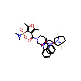 Cc1oc(C)c(S(=O)(=O)N(C)C)c1C(=O)N1CCC(CCN2[C@@H]3CC[C@H]2C[C@@H](n2c(C)nc4ccccc42)C3)(c2ccccc2)CC1